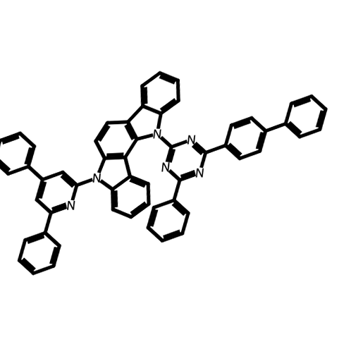 c1ccc(-c2ccc(-c3nc(-c4ccccc4)nc(-n4c5ccccc5c5ccc6c(c7ccccc7n6-c6cc(-c7ccccc7)cc(-c7ccccc7)n6)c54)n3)cc2)cc1